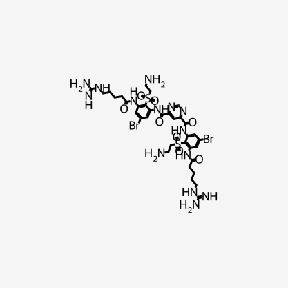 N=C(N)NCCCCC(=O)Nc1cc(Br)cc(NC(=O)c2cc(C(=O)Nc3cc(Br)cc(NC(=O)CCCCNC(=N)N)c3S(=O)(=O)CCN)ncn2)c1S(=O)(=O)CCN